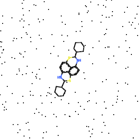 c1cc2c3c(ccc4c3c1NC(C1CCCCC1)S4)NC(C1CCCCC1)S2